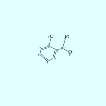 CCP(CC)c1ccccc1Cl